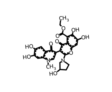 CCOC(=O)c1c(O)c(O)cc2oc(N3CCC(O)C3)c(-c3cn(C)c4cc(O)c(O)cc4c3=O)c(=O)c12